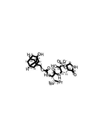 CC(C)C[C@H](NC(=O)OCC12C[C@@H]3C[C@@H](CC(O)(C3)C1)C2)C(=O)N[C@@H](C[C@@H]1CCNC1=O)C(O)S(=O)(=O)[O-].[Na+]